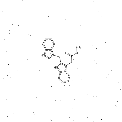 COC(=O)Cc1c(Cc2c[nH]c3ccccc23)[nH]c2ccccc12